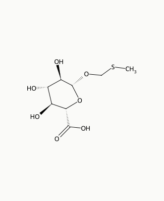 CSCO[C@@H]1O[C@H](C(=O)O)[C@@H](O)[C@H](O)[C@H]1O